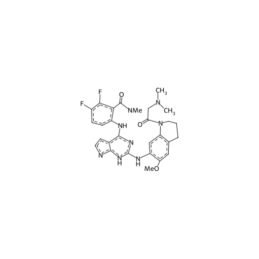 CNC(=O)c1c(Nc2nc(Nc3cc4c(cc3OC)CCCN4C(=O)CN(C)C)[nH]c3nccc2-3)ccc(F)c1F